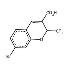 O=C(O)C1=Cc2ccc(Br)cc2OC1C(F)(F)F